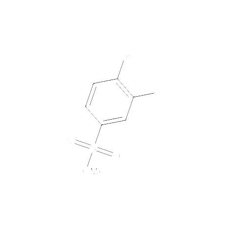 COS(=O)(=O)c1ccc(Br)c(F)c1